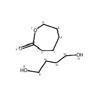 O=C1CCCCCO1.OCCCCO